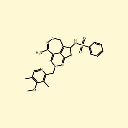 COc1c(C)cnc(CN2N=C3CC(NS(=O)(=O)c4ccccc4)C4=C3C(=N2)C(N)=NSC4)c1C